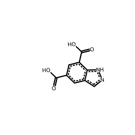 O=C(O)c1cc(C(=O)O)c2[nH]ncc2c1